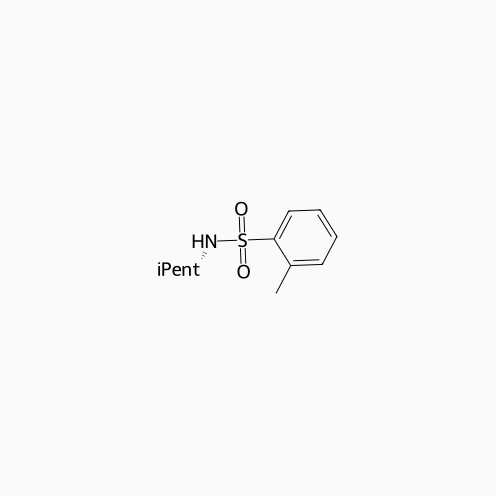 [CH2]CC[C@@H]([CH2])NS(=O)(=O)c1ccccc1C